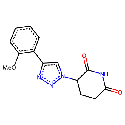 COc1ccccc1-c1cn(C2CCC(=O)NC2=O)nn1